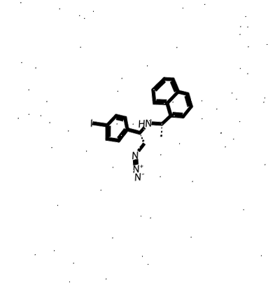 C[C@H](N[C@H](CN=[N+]=[N-])c1ccc(I)cc1)c1cccc2ccccc12